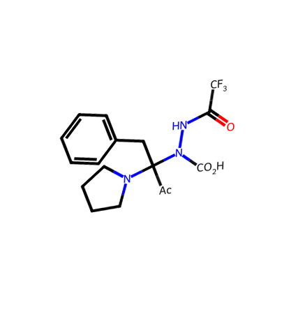 CC(=O)C(Cc1ccccc1)(N1CCCC1)N(NC(=O)C(F)(F)F)C(=O)O